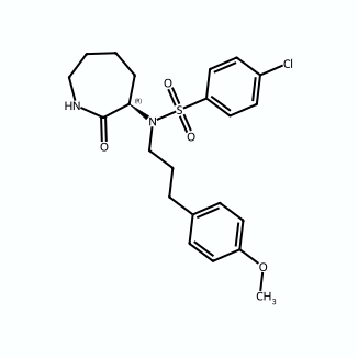 COc1ccc(CCCN([C@@H]2CCCCNC2=O)S(=O)(=O)c2ccc(Cl)cc2)cc1